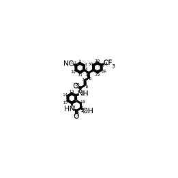 N#Cc1ccc(/C(=C\C=C\C(=O)Nc2cccc3c2CC(O)C(=O)N3)c2ccc(C(F)(F)F)cc2)cc1